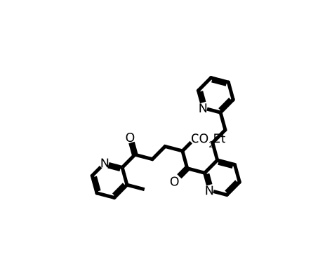 CCOC(=O)C(CCC(=O)c1ncccc1C)C(=O)c1ncccc1CCc1ccccn1